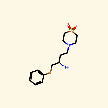 [NH][C@H](CCN1CCS(=O)(=O)CC1)CSc1ccccc1